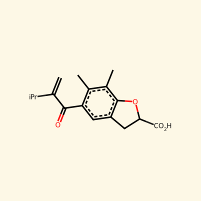 C=C(C(=O)c1cc2c(c(C)c1C)OC(C(=O)O)C2)C(C)C